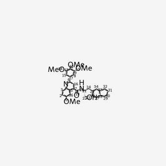 COc1ccc2nc(-c3cc(OC)c(OC)c(OC)c3)cc(C(=O)N[C@@H](CO)Cc3ccc4ccccc4c3)c2c1